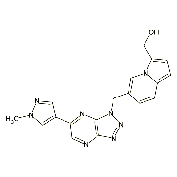 Cn1cc(-c2cnc3nnn(Cc4ccc5ccc(CO)n5c4)c3n2)cn1